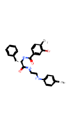 COc1ccc(NCCNC(=O)[C@H](Cc2ccccc2)NC(=O)c2ccc(C)c(Br)c2)cc1